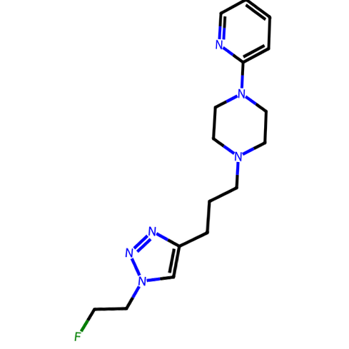 FCCn1cc(CCCN2CCN(c3ccccn3)CC2)nn1